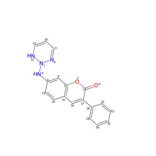 O=c1oc2cc(NN3N=CC=CN3)ccc2cc1-c1ccccc1